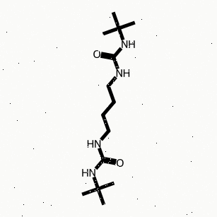 CC(C)(C)NC(=O)NCCCCNC(=O)NC(C)(C)C